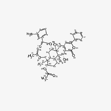 Bc1cccc(C(=O)O[C@H]2CC3C(C)(COC(C)=O)[C@@H](OC(C)=O)CC[C@]3(C)C3[C@@H](O)c4c(cc(-c5cccnc5)oc4=O)OC32C)c1